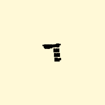 O=C([O-])[O-].[LiH].[LiH].[Na+].[Na+]